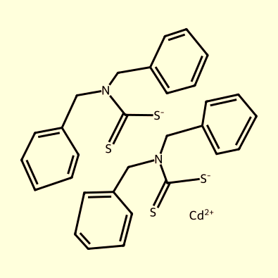 S=C([S-])N(Cc1ccccc1)Cc1ccccc1.S=C([S-])N(Cc1ccccc1)Cc1ccccc1.[Cd+2]